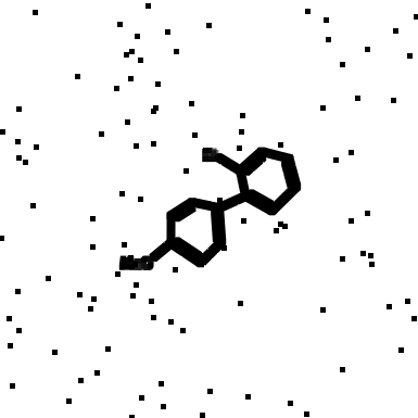 CCc1ccccc1-c1ccc(OC)cc1